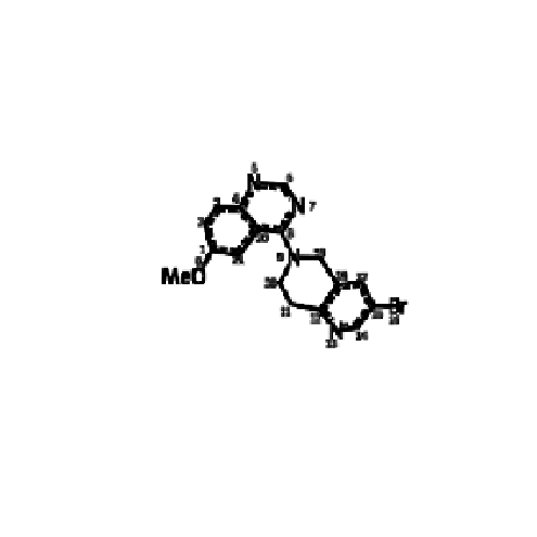 COc1ccc2ncnc(N3CCc4ncc(Br)cc4C3)c2c1